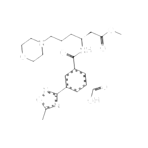 COC(=O)C[C@H](CCCN1CCOCC1)NC(=O)c1cccc(-c2noc(C)n2)c1.O=CO